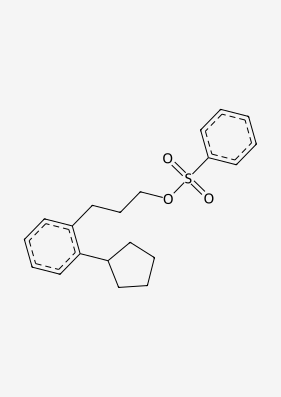 O=S(=O)(OCCCc1ccccc1C1CCCC1)c1ccccc1